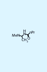 CCCC(=O)NC(C)NC